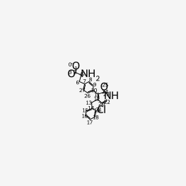 COC(=O)[C@@H](N)Cc1ccc(-c2c(Cc3ccccc3)c(Cl)c[nH]c2=O)cc1